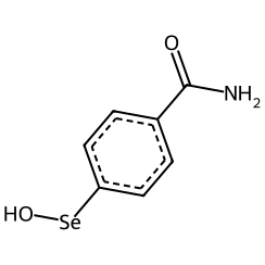 NC(=O)c1ccc([Se]O)cc1